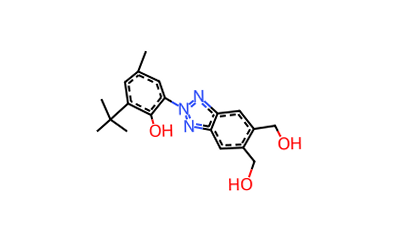 Cc1cc(-n2nc3cc(CO)c(CO)cc3n2)c(O)c(C(C)(C)C)c1